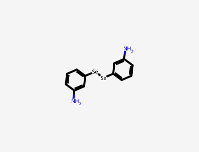 Nc1cccc([Se][Se]c2cccc(N)c2)c1